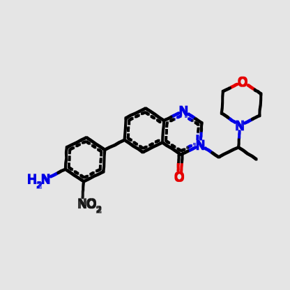 CC(Cn1cnc2ccc(-c3ccc(N)c([N+](=O)[O-])c3)cc2c1=O)N1CCOCC1